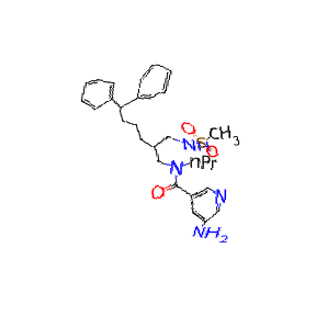 CCCN(CC(CCCC(c1ccccc1)c1ccccc1)CNS(C)(=O)=O)C(=O)c1cncc(N)c1